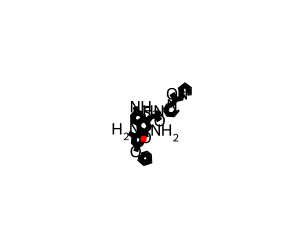 Cc1cc(Oc2ccccc2)ccc1C1(N)C(=O)C(N)c2c(C(=O)NC3CCCN(C(=O)CN4CCCC4)C3)sc3c(N)ccc1c23